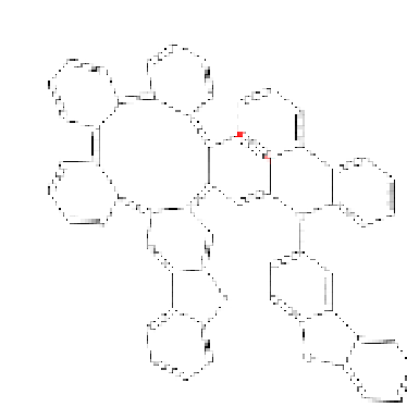 c1ccc(-c2ccccc2N(c2ccc3oc4ccccc4c3c2)c2ccc3c4ccccc4c4ccccc4c4ccccc4c4cc5c(cc4c3c2)sc2ccccc25)cc1